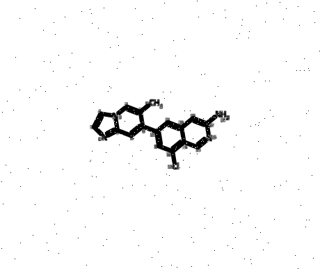 Cc1cn2ccnc2cc1-c1cc(Cl)c2cnc(N)cc2c1